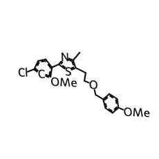 COc1ccc(COCCc2sc(-c3ccc(Cl)cc3OC)nc2C)cc1